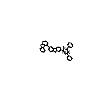 c1ccc(-c2nc(-c3ccccc3)nc(-c3ccc4c(c3)Cc3ccc(-c5cccc6c5-c5ccccc5C6)cc3-4)n2)cc1